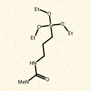 CCO[Si](CCCNC(=O)NC)(OCC)OCC